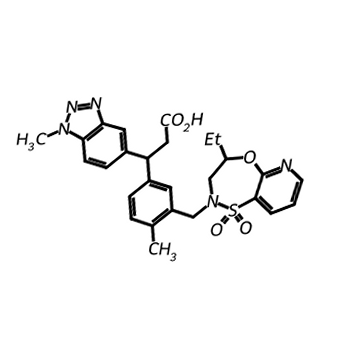 CCC1CN(Cc2cc(C(CC(=O)O)c3ccc4c(c3)nnn4C)ccc2C)S(=O)(=O)c2cccnc2O1